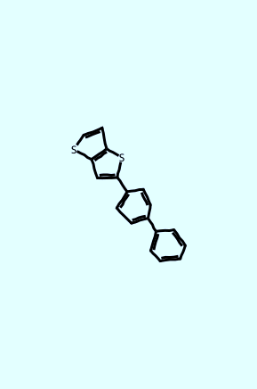 c1ccc(-c2ccc(-c3cc4sccc4s3)cc2)cc1